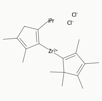 CC1=C(C)[C]([Zr+2][C]2=C(C)C(C)=C(C)C2(C)C)=C(C(C)C)C1.[Cl-].[Cl-]